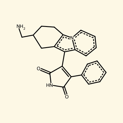 NCC1CCc2c(c(C3=C(c4ccccc4)C(=O)NC3=O)c3ccccn23)C1